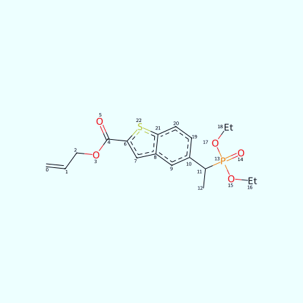 C=CCOC(=O)c1cc2cc(C(C)P(=O)(OCC)OCC)ccc2s1